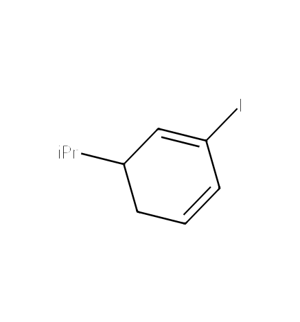 CC(C)C1C=C(I)C=CC1